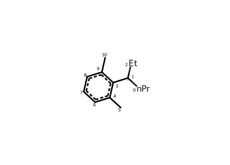 CCC[C](CC)c1c(C)cccc1C